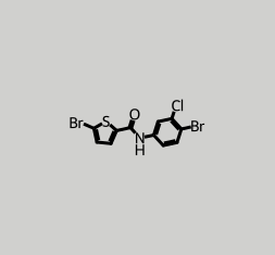 O=C(Nc1ccc(Br)c(Cl)c1)c1ccc(Br)s1